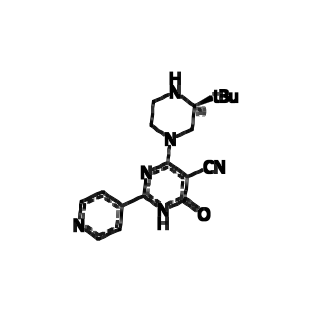 CC(C)(C)[C@H]1CN(c2nc(-c3ccncc3)[nH]c(=O)c2C#N)CCN1